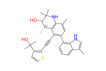 Cc1cc(-c2cccc3c(C)c[nH]c23)c(C#Cc2sccc2C(C)(C)O)c2c1NC(C)(C)C(O)[C@H]2C